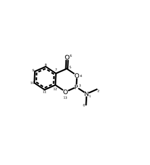 CN(C)P1OC(=O)c2ccccc2O1